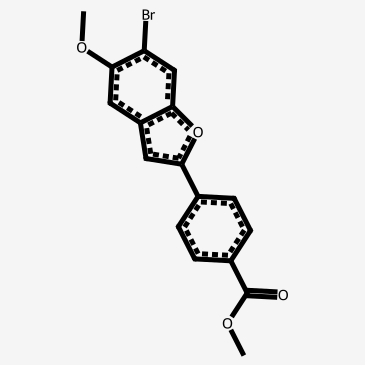 COC(=O)c1ccc(-c2cc3cc(OC)c(Br)cc3o2)cc1